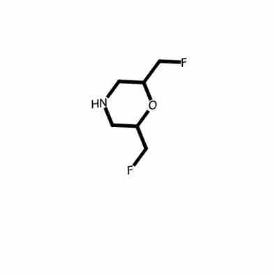 FCC1CNCC(CF)O1